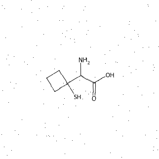 NC(C(=O)O)C1(S)CCC1